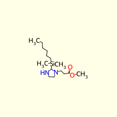 CCCCCC[Si](C)(C)C1NCCN1CCC(=O)OC